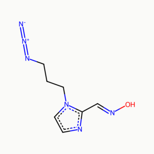 [N-]=[N+]=NCCCn1ccnc1C=NO